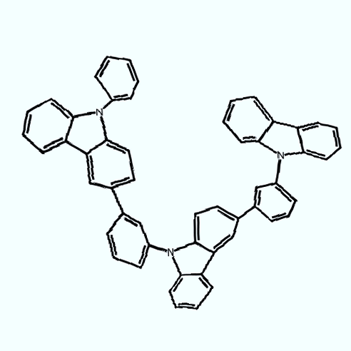 c1ccc(-n2c3ccccc3c3cc(-c4cccc(-n5c6ccccc6c6cc(-c7cccc(-n8c9ccccc9c9ccccc98)c7)ccc65)c4)ccc32)cc1